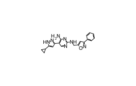 Nc1nc(NCc2cc(-c3ccccc3)no2)ncc1-c1cc(C2CC2)[nH]n1